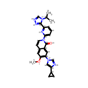 COc1cc2ccn(-c3cccc(-c4nncn4C(C)C)n3)c(=O)c2cc1-n1cnc(C2CC2)c1